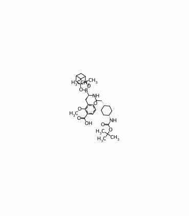 COc1c(C[C@H](NC(=O)C[C@H]2CC[C@@H](NC(=O)OC(C)(C)C)CC2)B2OC3CC4CC(C4(C)C)C3(C)O2)cccc1C(=O)O